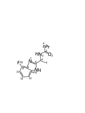 CCCC(=O)NC(C)c1nc2c(F)cccc2[nH]1